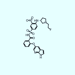 O=C(NS(=O)(=O)c1ccc(N[C@@H]2CCN(CCF)C2)c([N+](=O)[O-])c1)c1ccccc1Oc1cnc2[nH]ccc2c1